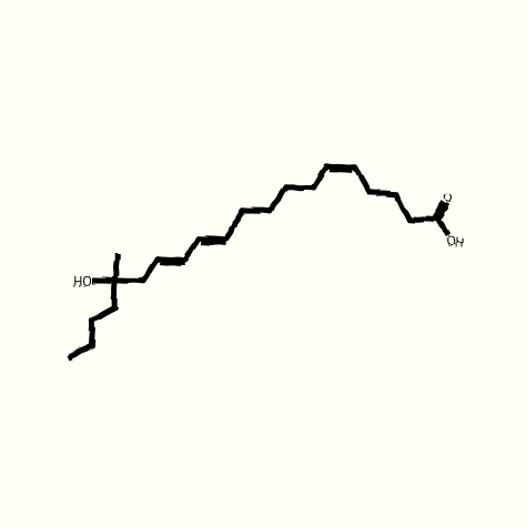 CCCCC(C)(O)CC=CC=CCCCC/C=C\CCCC(=O)O